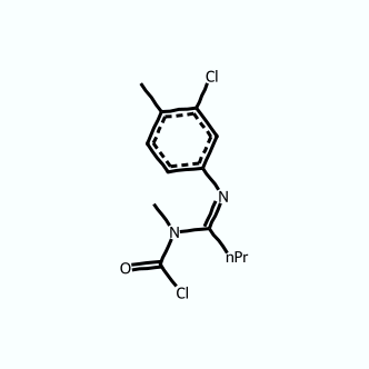 CCCC(=Nc1ccc(C)c(Cl)c1)N(C)C(=O)Cl